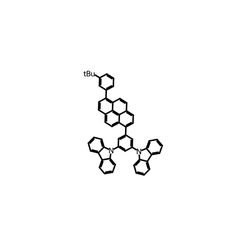 CC(C)(C)c1cccc(-c2ccc3ccc4c(-c5cc(-n6c7ccccc7c7ccccc76)cc(-n6c7ccccc7c7ccccc76)c5)ccc5ccc2c3c54)c1